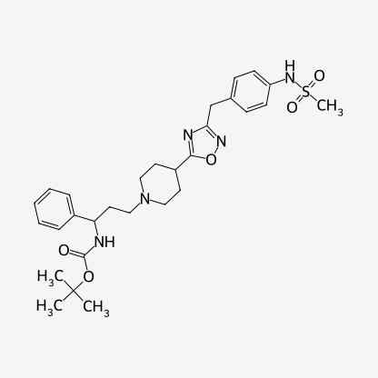 CC(C)(C)OC(=O)NC(CCN1CCC(c2nc(Cc3ccc(NS(C)(=O)=O)cc3)no2)CC1)c1ccccc1